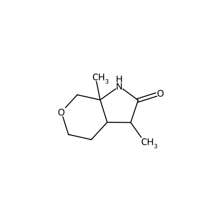 CC1C(=O)NC2(C)COCCC12